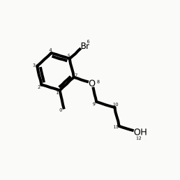 Cc1cccc(Br)c1OCCCO